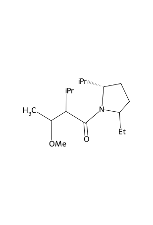 CCC1CC[C@@H](C(C)C)N1C(=O)C(C(C)C)C(C)OC